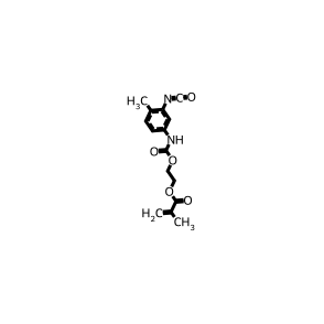 C=C(C)C(=O)OCCOC(=O)Nc1ccc(C)c(N=C=O)c1